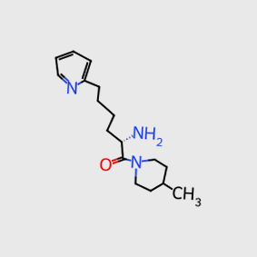 CC1CCN(C(=O)[C@@H](N)CCCCc2ccccn2)CC1